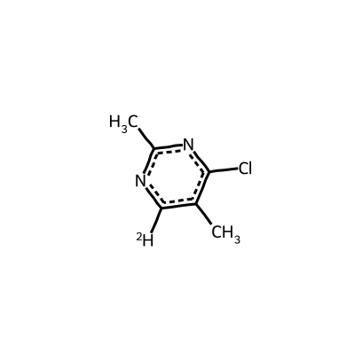 [2H]c1nc(C)nc(Cl)c1C